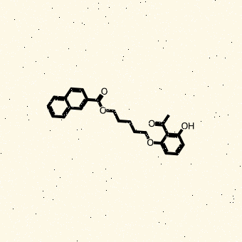 CC(=O)c1c(O)cccc1OCCCCCOC(=O)c1ccc2ccccc2c1